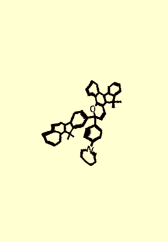 CC1(C)c2ccccc2-c2c1c1c(c3ccccc23)OC(c2ccc(N3CCCCC3)cc2)(c2ccc3c(c2)C(C)(C)c2c-3ccc3ccccc23)C=C1